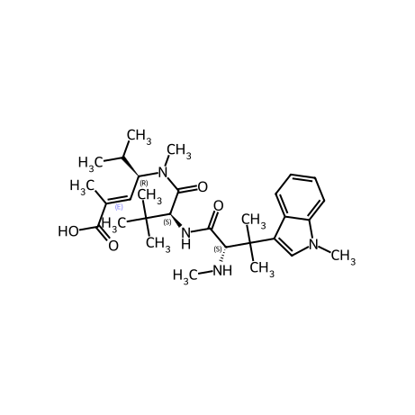 CN[C@H](C(=O)N[C@H](C(=O)N(C)[C@@H](/C=C(\C)C(=O)O)C(C)C)C(C)(C)C)C(C)(C)c1cn(C)c2ccccc12